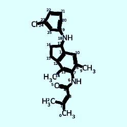 CC(C)=CC(=O)Nc1c(C)cc2c(c1C)CCC2Nc1cccc(Cl)c1